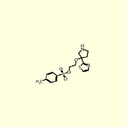 Cc1ccc(S(=O)(=O)OCCOC2(c3nccs3)CCNC2)cc1